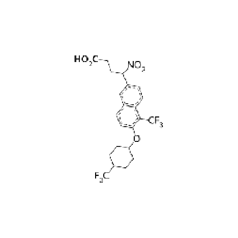 O=C(O)CCC(c1ccc2c(C(F)(F)F)c(OC3CCC(C(F)(F)F)CC3)ccc2c1)[N+](=O)[O-]